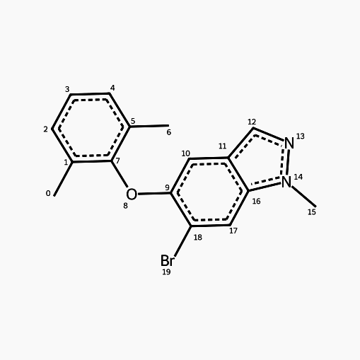 Cc1cccc(C)c1Oc1cc2cnn(C)c2cc1Br